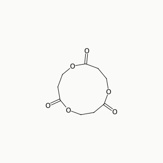 O=C1CCOC(=O)CCOC(=O)CCO1